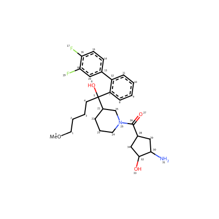 COCCCCC(O)(c1ccccc1-c1ccc(F)c(F)c1)C1CCCN(C(=O)C2CC(N)C(O)C2)C1